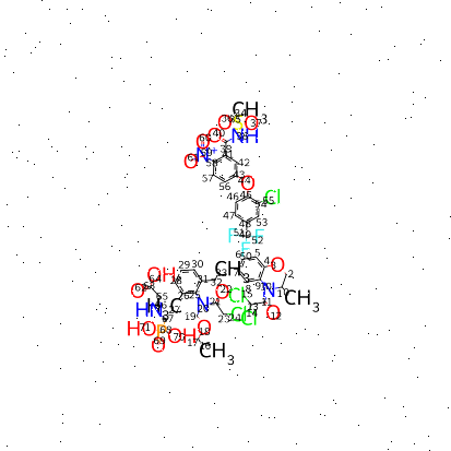 CC1COc2ccccc2N1C(=O)C(Cl)Cl.CCOCN(C(=O)CCl)c1c(C)cccc1CC.CS(=O)(=O)NC(=O)c1cc(Oc2ccc(C(F)(F)F)cc2Cl)ccc1[N+](=O)[O-].O=C(O)CNCP(=O)(O)O